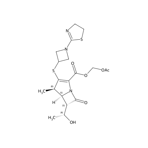 CC(=O)OCOC(=O)C1=C(SC2CN(C3=NCCS3)C2)[C@H](C)[C@@H]2[C@@H]([C@@H](C)O)C(=O)N12